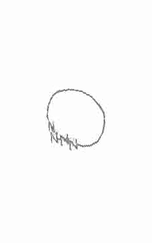 C1CCCCCCC/N=N/N=N/CCCCCC1